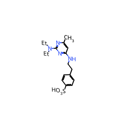 CCN(CC)c1nc(C)cc(NCCc2ccc(S(=O)(=O)O)cc2)n1